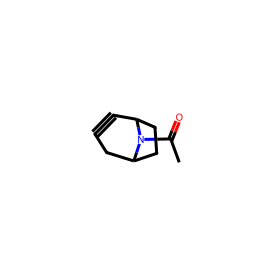 CC(=O)N1C2C#CCC1CC2